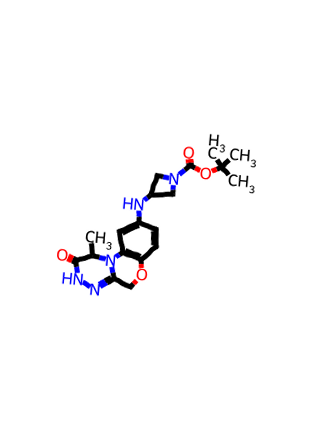 CC1C(=O)NN=C2COc3ccc(NC4CN(C(=O)OC(C)(C)C)C4)cc3N21